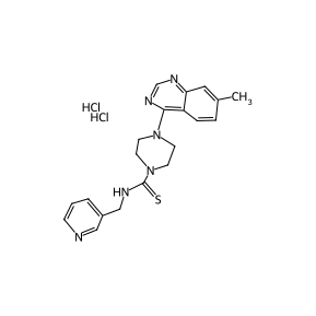 Cc1ccc2c(N3CCN(C(=S)NCc4cccnc4)CC3)ncnc2c1.Cl.Cl